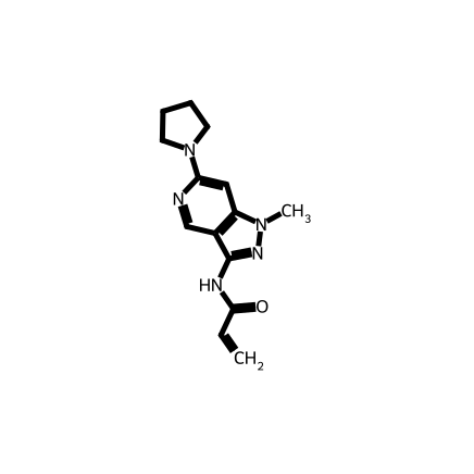 C=CC(=O)Nc1nn(C)c2cc(N3CCCC3)ncc12